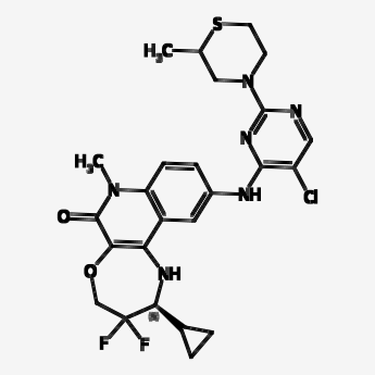 CC1CN(c2ncc(Cl)c(Nc3ccc4c(c3)c3c(c(=O)n4C)OCC(F)(F)[C@H](C4CC4)N3)n2)CCS1